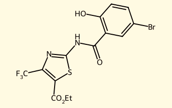 CCOC(=O)c1sc(NC(=O)c2cc(Br)ccc2O)nc1C(F)(F)F